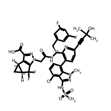 Cn1nc(NS(C)(=O)=O)c2c(Cl)ccc(-c3ccc(C#CC(C)(C)O)nc3[C@H](Cc3cc(F)cc(F)c3)NC(=O)Cn3nc(C(=O)O)c4c3C(F)(F)[C@@H]3C[C@H]43)c21